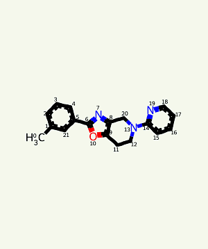 Cc1cccc(-c2nc3c(o2)CCN(c2ccccn2)C3)c1